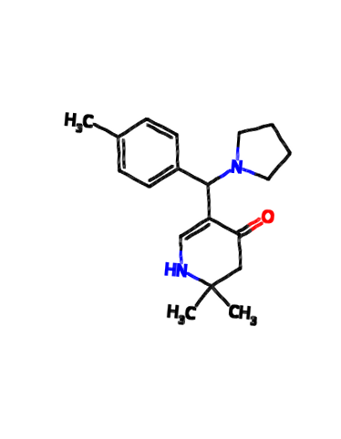 Cc1ccc(C(C2=CNC(C)(C)CC2=O)N2CCCC2)cc1